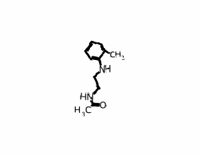 CC(=O)NCCNc1ccccc1C